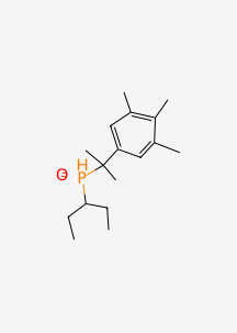 CCC(CC)[PH](=O)C(C)(C)c1cc(C)c(C)c(C)c1